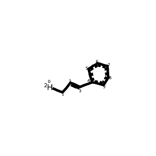 [2H]CC=Cc1ccccc1